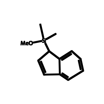 CO[Si](C)(C)C1C=Cc2ccccc21